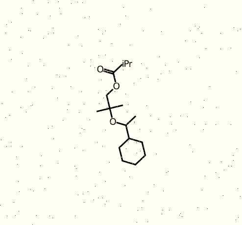 CC(C)C(=O)OCC(C)(C)OC(C)C1CCCCC1